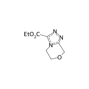 CCOC(=O)c1nnc2n1CCOC2